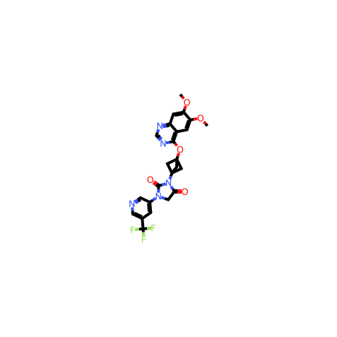 COc1cc2ncnc(OC34CC(N5C(=O)CN(c6cncc(C(F)(F)F)c6)C5=O)(C3)C4)c2cc1OC